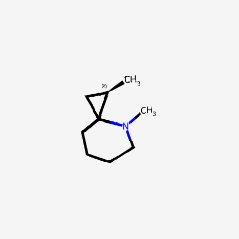 C[C@@H]1CC12CCCCN2C